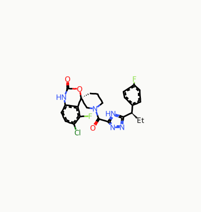 CC[C@H](c1ccc(F)cc1)c1nnc(C(=O)N2CCC[C@@]3(C2)OC(=O)Nc2ccc(Cl)c(F)c23)[nH]1